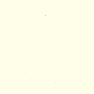 O=S(=O)(c1ccc(-c2cc(-c3ccccc3)cc(-c3ccccc3)c2)cc1)c1ccc(-c2cc(-c3ccccc3)cc(-c3ccccc3)c2)cc1